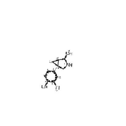 OC1NC[C@@]2(c3ccc(Cl)c(Cl)c3)CC12